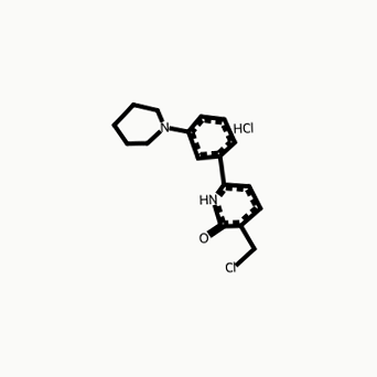 Cl.O=c1[nH]c(-c2cccc(N3CCCCC3)c2)ccc1CCl